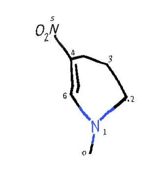 CN1[C]CC([N+](=O)[O-])=C1